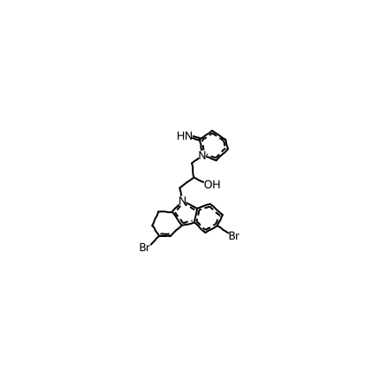 N=c1ccccn1CC(O)Cn1c2c(c3cc(Br)ccc31)C=C(Br)CC2